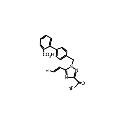 CC/C=C/c1nc(C(=O)CCC)nn1Cc1ccc(-c2ccccc2C(=O)O)cc1